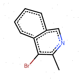 Cc1ncc2ccccc2c1Br